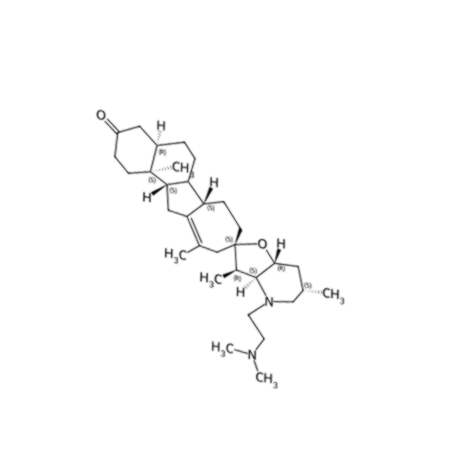 CC1=C2C[C@H]3C(CC[C@@H]4CC(=O)CC[C@@]43C)[C@@H]2CC[C@@]2(C1)O[C@@H]1C[C@H](C)CN(CCN(C)C)[C@H]1[C@H]2C